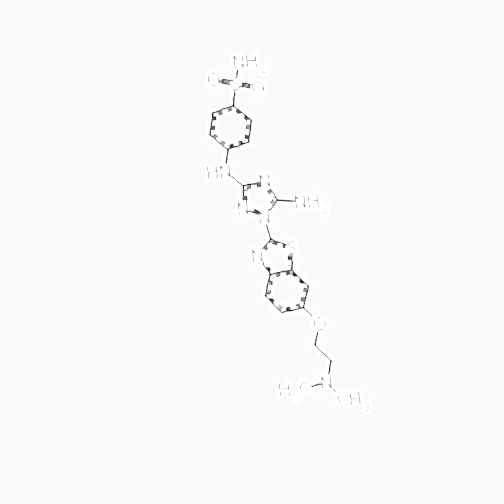 CN(C)CCOc1ccc2nc(-n3nc(Nc4ccc(S(N)(=O)=O)cc4)nc3N)sc2c1